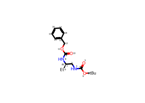 CC[C@H](CNC(=O)OC(C)(C)C)NC(=O)OCc1ccccc1